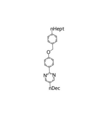 CCCCCCCCCCc1cnc(-c2ccc(OCc3ccc(CCCCCCC)cc3)cc2)nc1